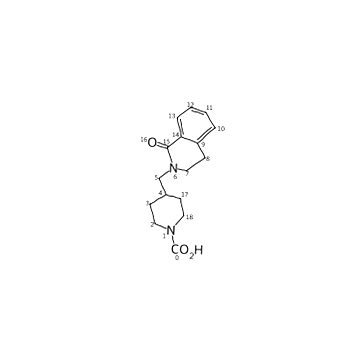 O=C(O)N1CCC(CN2CCc3ccccc3C2=O)CC1